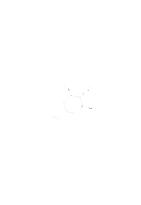 C[C@H]1O[C@H](OF)C[C@@H](O)[C@H]1O